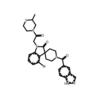 CC1CN(C(=O)CN2C(=O)C3(CCN(C(=O)c4ccc5[nH]ncc5c4)CC3)c3c(Br)cccc32)CCS1